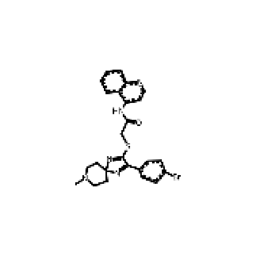 CN1CCC2(CC1)N=C(SCC(=O)Nc1ccnc3ccccc13)C(c1ccc(Br)cc1)=N2